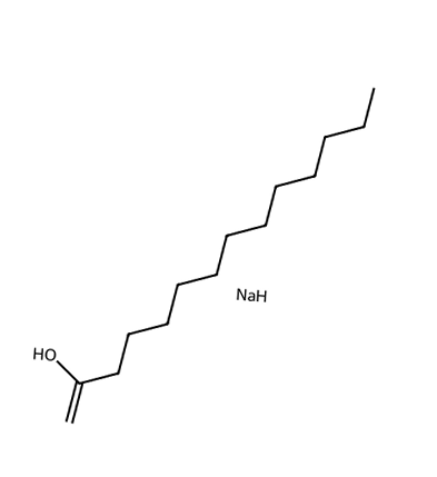 C=C(O)CCCCCCCCCCCC.[NaH]